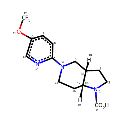 O=C(O)N1CC[C@H]2CN(c3ccc(OC(F)(F)F)cn3)CC[C@H]21